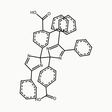 O=C(O)c1ccc(C2(C3(c4ccc(C(=O)O)c(-c5ccccc5)c4)N=CC(c4ccccc4)=N3)N=C(c3ccccc3)C(c3ccccc3)=N2)cc1